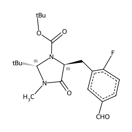 CN1C(=O)[C@H](Cc2cc(C=O)ccc2F)N(C(=O)OC(C)(C)C)[C@H]1C(C)(C)C